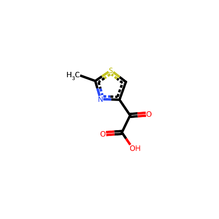 Cc1nc(C(=O)C(=O)O)cs1